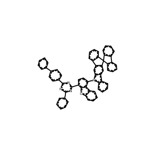 c1ccc(-c2ccc(-c3nc(-c4ccccc4)nc(-c4ccc(-n5c6ccccc6c6cc7c(cc65)-c5ccccc5C75c6ccccc6-c6ccccc65)c5c4oc4ccccc45)n3)cc2)cc1